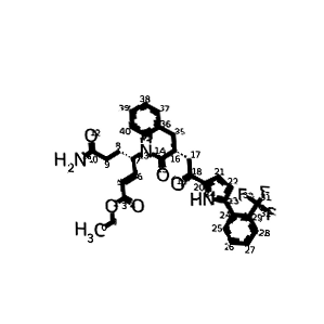 CCOC(=O)/C=C/[C@H](CCC(N)=O)NC(=O)[C@@H](CC(=O)c1ccc(-c2ccccc2C(F)(F)F)[nH]1)Cc1ccccc1